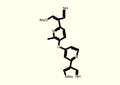 CN/C=C(\C=N)c1cc(Oc2ccc(/C(C=N)=C\OC)nc2C)ccn1